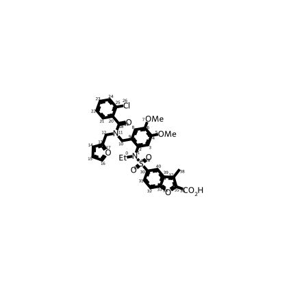 CCN(c1cc(OC)c(OC)cc1CN(Cc1ccco1)C(=O)c1ccccc1Cl)S(=O)(=O)c1ccc2oc(C(=O)O)c(C)c2c1